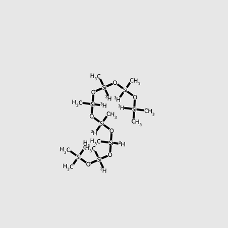 [3H][Si](C)(C)O[Si]([3H])(C)O[Si]([3H])(C)O[Si]([3H])(C)O[Si]([3H])(C)O[Si]([3H])(C)O[Si]([3H])(C)O[Si](C)(C)C